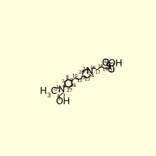 CCN(CCO)c1ccc(C=CC2=CCN(CCCCS(=O)(=O)O)C=C2)cc1